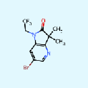 CC1(C)C(=O)N(CC(F)(F)F)c2cc(Br)cnc21